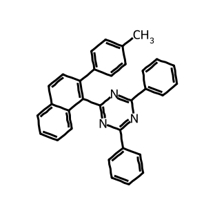 Cc1ccc(-c2ccc3ccccc3c2-c2nc(-c3ccccc3)nc(-c3ccccc3)n2)cc1